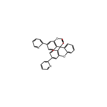 c1ccc(-c2ccc3c(c2)Oc2ccccc2C32c3ccccc3Oc3cc(-c4ccccn4)ccc32)nc1